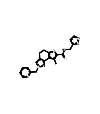 Cc1c(C(=O)NCc2ccon2)oc2c1-c1nn(Cc3ccccn3)cc1CC2